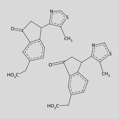 Cc1scnc1C1CC(=O)c2cc(CC(=O)O)ccc21.Cc1scnc1C1CC(=O)c2cc(CC(=O)O)ccc21